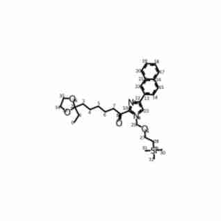 CCC1(CCCCCC(=O)c2nc(-c3ccc4ccccc4c3)cn2COCC[Si](C)(C)C)OCCO1